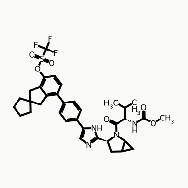 COC(=O)N[C@H](C(=O)N1C2CC2C[C@H]1c1ncc(-c2ccc(-c3ccc(OS(=O)(=O)C(F)(F)F)c4c3CC3(CCCC3)C4)cc2)[nH]1)C(C)C